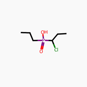 CCCP(=O)(O)C(Cl)CC